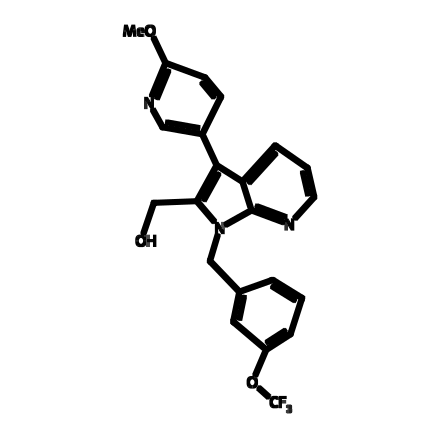 COc1ccc(-c2c(CO)n(Cc3cccc(OC(F)(F)F)c3)c3ncccc23)cn1